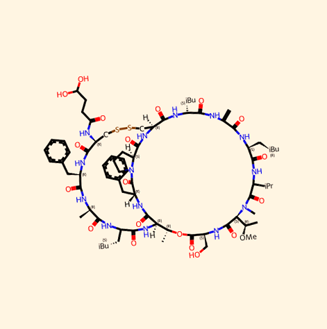 C=C1NC(=O)C([C@@H](C)CC)NC(=O)[C@@H]2CSSC[C@H](NC(=O)CCC(O)O)C(=O)N[C@H](Cc3ccccc3)C(=O)N[C@H](C)C(=O)NC(C[C@@H](C)CC)C(=O)N[C@@H](C(=O)N[C@H](Cc3ccccc3)C(=O)N3CCC[C@H]3C(=O)N2)[C@@H](C)OC(=O)[C@H](CO)NC(=O)[C@H]([C@@H](C)OC)N(C)C(=O)C(C(C)C)NC(=O)[C@H](C[C@H](C)CC)NC1=O